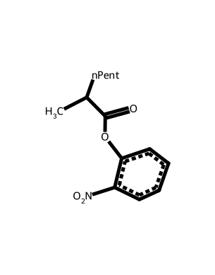 CCCCCC(C)C(=O)Oc1ccccc1[N+](=O)[O-]